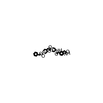 O=C1Cc2cc(C(=O)NC3CCN(S(=O)(=O)CC4CCN(C(=O)OCc5ccccc5)CC4)CC3)ccc2N1